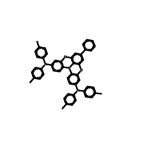 Cc1ccc(N(c2ccc(C)cc2)c2ccc3c(c2)Oc2cc(-c4ccccc4)cc4c2B3c2ccc(N(c3ccc(C)cc3)c3ccc(C)cc3)cc2O4)cc1